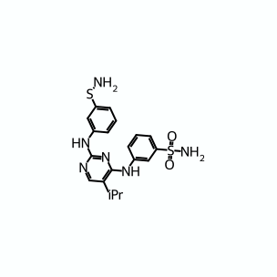 CC(C)c1cnc(Nc2cccc(SN)c2)nc1Nc1cccc(S(N)(=O)=O)c1